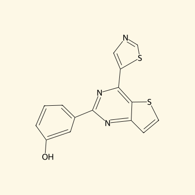 Oc1cccc(-c2nc(-c3cncs3)c3sccc3n2)c1